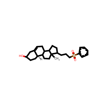 CC12CCC3C(CC=C4CC(O)CC[C@@H]43)C1CCC2CCCS(=O)(=O)c1ccccc1